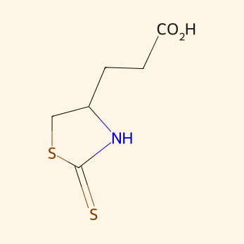 O=C(O)CCC1CSC(=S)N1